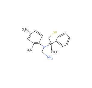 NCN(c1ccc([N+](=O)[O-])cc1[N+](=O)[O-])[C@@](CS)(C(=O)O)c1ccccc1